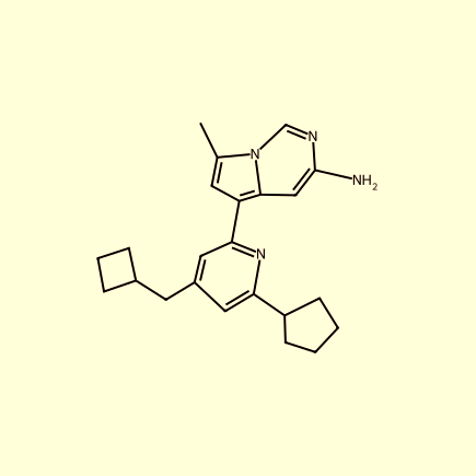 Cc1cc(-c2cc(CC3CCC3)cc(C3CCCC3)n2)c2cc(N)ncn12